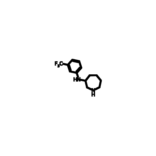 FC(F)(F)c1cccc(NC2CCCCNC2)c1